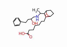 CC(NCC(O)CCc1ccccc1)C1C2CCC(O2)C1CCCCCCC(=O)O